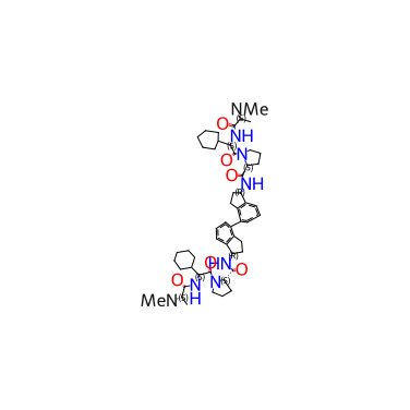 CN[C@@H](C)C(=O)N[C@H](C(=O)N1CCC[C@H]1C(=O)N[C@@H]1CCc2c(-c3cccc4c3CC[C@H]4NC(=O)[C@@H]3CCCN3C(=O)[C@@H](NC(=O)[C@H](C)NC)C3CCCCC3)cccc21)C1CCCCC1